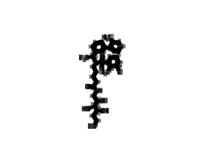 Cc1cnccc1-c1cccc([C@H](C)N(CCCCC(=O)NC[C@@H](O)[C@H](O)[C@@H](O)CCO)S(=O)(=O)c2cccc(Cl)c2C)c1